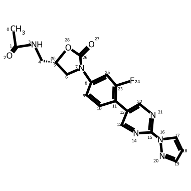 CC(=O)NC[C@H]1CN(c2ccc(-c3cnc(-n4cccn4)nc3)c(F)c2)C(=O)O1